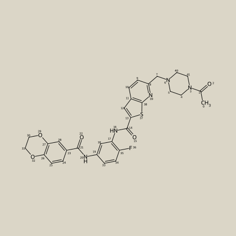 CC(=O)N1CCN(Cc2ccc3cc(C(=O)Nc4cc(NC(=O)c5ccc6c(c5)OCCO6)ccc4F)sc3n2)CC1